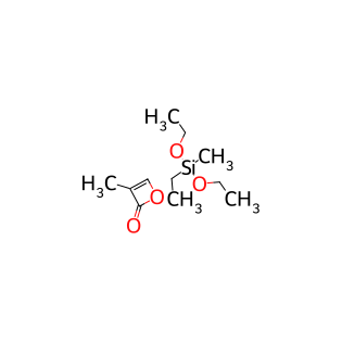 CC1=COC1=O.CCO[Si](C)(CC)OCC